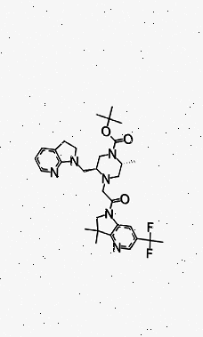 C[C@@H]1CN(CC(=O)N2CC(C)(C)c3ncc(C(C)(F)F)cc32)[C@@H](CN2CCc3cccnc32)CN1C(=O)OC(C)(C)C